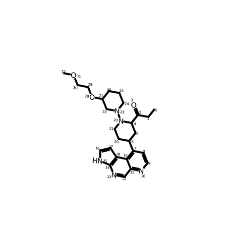 CCC(=O)C1CC(c2ccnc3cnc4[nH]ccc4c23)CCN1N1CCCC(OCCOC)C1